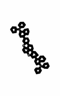 C1=CC(N(c2ccccc2)c2ccc(C3=CC4=C(CC3)c3ccc5c6c(ccc(c36)O4)Oc3cc(-c4ccc(N(c6ccccc6)c6ccccc6)c6ccccc46)ccc3-5)c3ccccc23)=CCC1